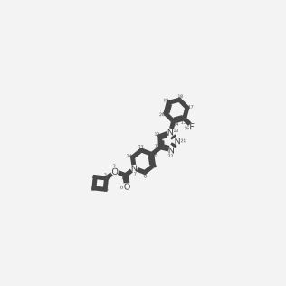 O=C(OC1CCC1)N1CC=C(c2cn(C3=C(F)CCC=C3)nn2)CC1